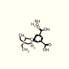 CCS(CC)(CC)CC.O.O=C(O)c1cccc(C(=O)O)c1.[KH]